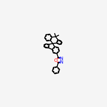 CC1(C)c2ccccc2C2(c3ccccc3-c3cc(-c4nnc(-c5ccccc5)o4)ccc32)c2ccccc21